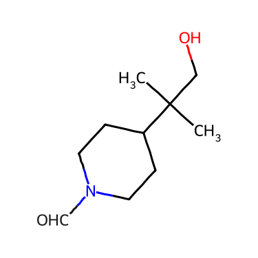 CC(C)(CO)C1CCN(C=O)CC1